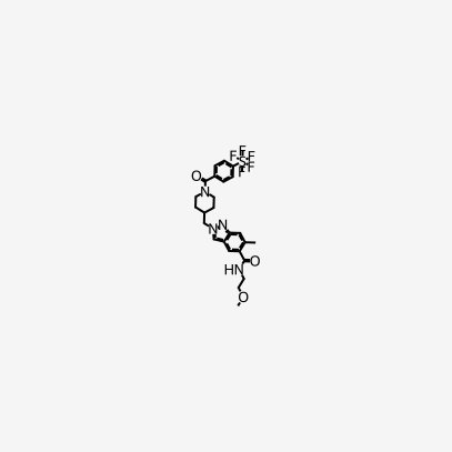 COCCNC(=O)c1cc2cn(CC3CCN(C(=O)c4ccc(S(F)(F)(F)(F)F)cc4)CC3)nc2cc1C